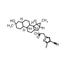 C[C@H]1[C@@H]2[C@H]1[C@H](C(=O)Cn1cc(C#N)c(F)n1)[C@@]1(C)CC[C@H]3[C@@H](CC[C@@H]4C[C@](C)(O)CC[C@@H]43)[C@H]21